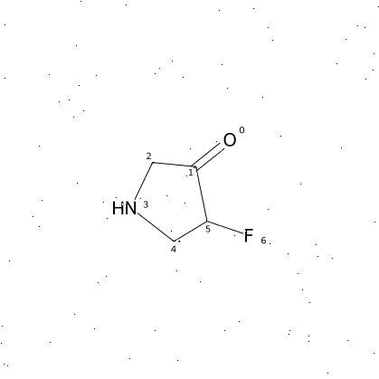 O=C1CN[CH]C1F